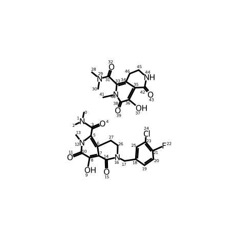 CN(C)C(=O)c1c2c(c(O)c(=O)n1C)C(=O)N(Cc1ccc(F)c(Cl)c1)CC2.CN(C)C(=O)c1c2c(c(O)c(=O)n1C)C(=O)NCC2